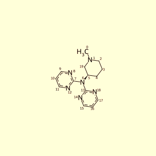 CN1CCC[C@@H](N(c2ncccn2)c2ncccn2)C1